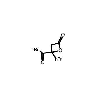 CCCC1(C(=O)C(C)(C)C)CC(=O)O1